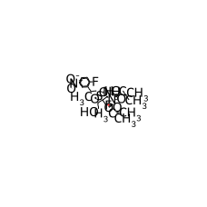 C[C@H](CS(=O)(=O)C(CF)(CCO)C(=N)N(C(=O)OC(C)(C)C)C(=O)OC(C)(C)C)c1cc([N+](=O)[O-])ccc1F